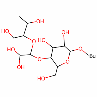 CCC(C)OC1OC(CO)C(OC(OC(CO)C(C)O)C(O)O)C(O)C1O